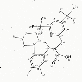 CCCC(CCC)c1cc(C)c(C)cc1C(C)N(Cc1cc(C(F)(F)F)cc(C(F)(F)F)c1)C(=O)O